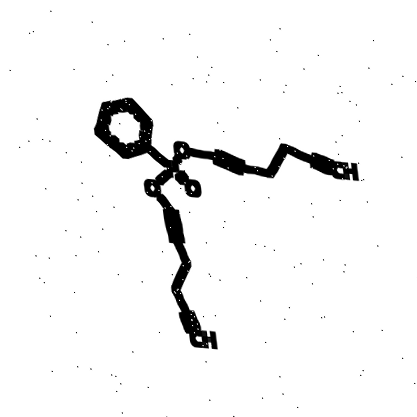 C#CCCC#COP(=O)(OC#CCCC#C)c1ccccc1